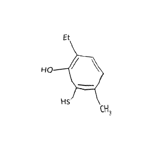 CCc1ccc(C)c(S)c1O